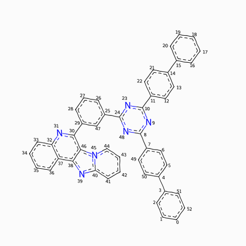 c1ccc(-c2ccc(-c3nc(-c4ccc(-c5ccccc5)cc4)nc(-c4cccc(-c5nc6ccccc6c6nc7ccccn7c56)c4)n3)cc2)cc1